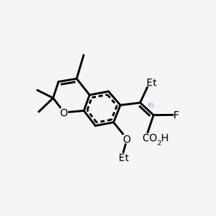 CCOc1cc2c(cc1/C(CC)=C(/F)C(=O)O)C(C)=CC(C)(C)O2